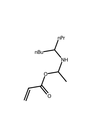 C=CC(=O)OC(C)NC(CCC)CCCC